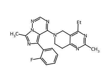 CCc1nc(C)nc2c1CN(c1ncnn3c(C)nc(-c4ccccc4F)c13)CC2